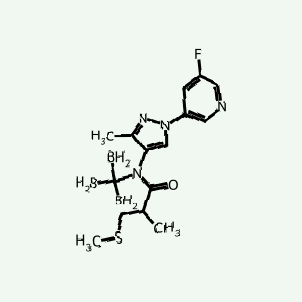 BC(B)(B)N(C(=O)C(C)CSC)c1cn(-c2cncc(F)c2)nc1C